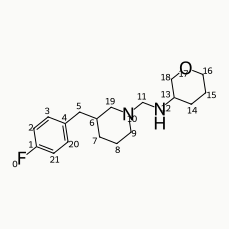 Fc1ccc(CC2CCCN(CNC3CCCOC3)C2)cc1